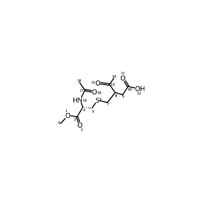 COC(=O)[C@@H](CSCC(CC(=O)O)C(C)=O)NC(C)=O